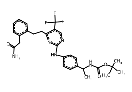 CC(NC(=O)OC(C)(C)C)c1ccc(Nc2ncc(C(F)(F)F)c(CCc3ccccc3CC(N)=O)n2)cc1